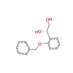 OC[C@@H](O)c1ccccc1OCc1ccccc1